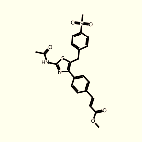 COC(=O)/C=C/c1ccc(-c2nc(NC(C)=O)sc2Cc2ccc(S(C)(=O)=O)cc2)cc1